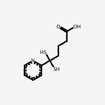 O=C(O)CCCC(S)(S)c1ccccn1